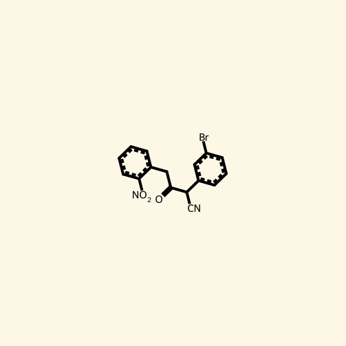 N#CC(C(=O)Cc1ccccc1[N+](=O)[O-])c1cccc(Br)c1